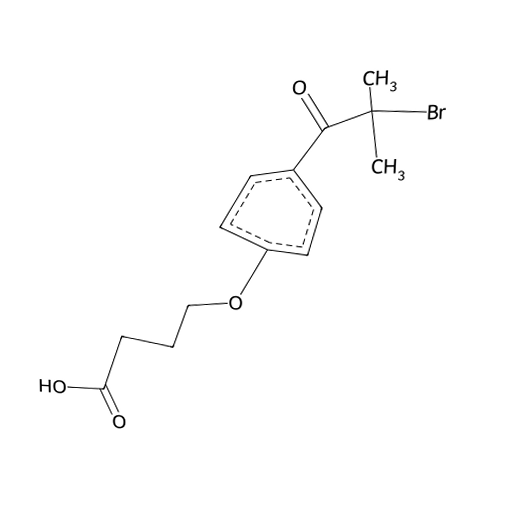 CC(C)(Br)C(=O)c1ccc(OCCCC(=O)O)cc1